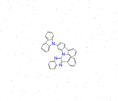 c1ccc(-c2nc3ccccc3nc2-n2c3ccccc3c3ccc(-n4c5ccccc5c5ccccc54)cc32)cc1